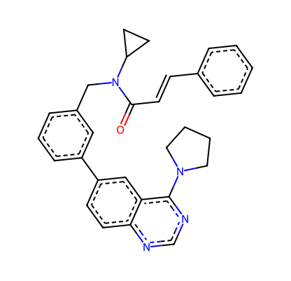 O=C(/C=C/c1ccccc1)N(Cc1cccc(-c2ccc3ncnc(N4CCCC4)c3c2)c1)C1CC1